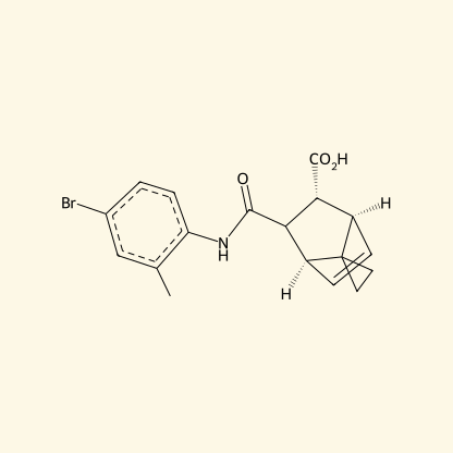 Cc1cc(Br)ccc1NC(=O)C1[C@H](C(=O)O)[C@H]2C=C[C@@H]1C21CC1